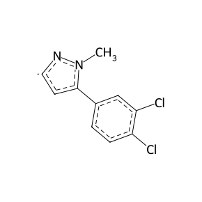 Cn1n[c]cc1-c1ccc(Cl)c(Cl)c1